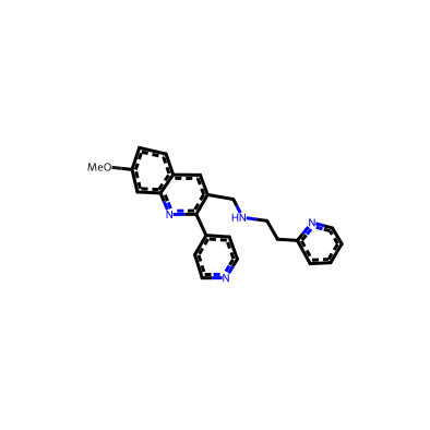 COc1ccc2cc(CNCCc3ccccn3)c(-c3ccncc3)nc2c1